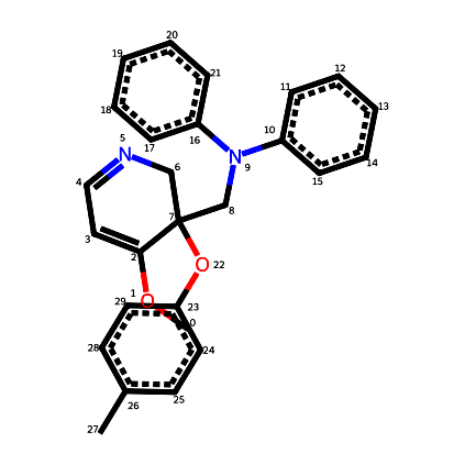 COC1=CC=NCC1(CN(c1ccccc1)c1ccccc1)Oc1ccc(C)cc1